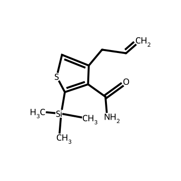 C=CCc1csc([Si](C)(C)C)c1C(N)=O